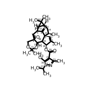 CC1=C[C@]23C(=O)[C@@H](C=C4COC(C)(C)O[C@H]4[C@]2(O)[C@H]1OC(=O)c1c(C)nn(C(C)C)c1C)[C@H]1[C@@H](C[C@H]3C)C1(C)C